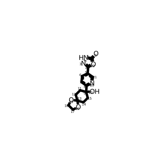 O=c1[nH]nc(-c2ccc(C3(O)CCC4(CC3)OCCO4)nc2)o1